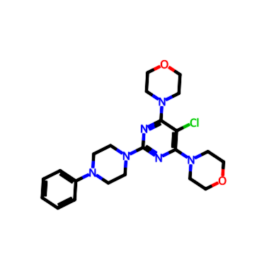 Clc1c(N2CCOCC2)nc(N2CCN(c3ccccc3)CC2)nc1N1CCOCC1